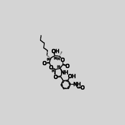 CCCCCC[C@H]1C(=O)O[C@H](C)[C@H](NC(=O)c2cccc(NC=O)c2O)C(=O)O[C@@H](C)[C@@H]1O